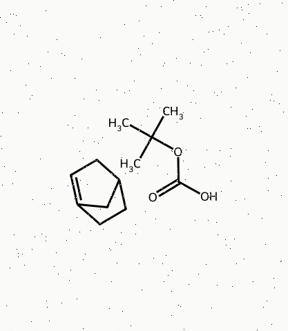 C1=C2CCC(C1)C2.CC(C)(C)OC(=O)O